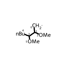 [CH2]C(OC)C(CCCC)OC